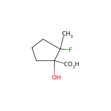 CC1(F)CCCC1(O)C(=O)O